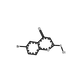 CCSc1cc(=O)c2cc(Br)ccc2o1